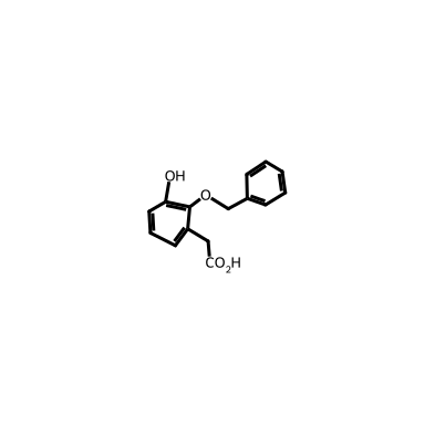 O=C(O)Cc1cccc(O)c1OCc1ccccc1